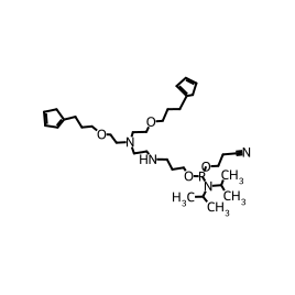 CC(C)N(C(C)C)P(OCCC#N)OCCCNCCN(CCOCCCC1=CC=CC1)CCOCCCC1=CC=CC1